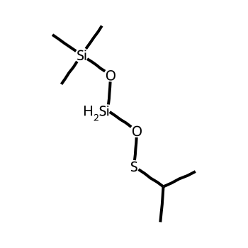 CC(C)SO[SiH2]O[Si](C)(C)C